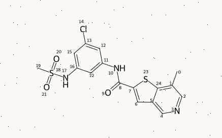 Cc1cncc2cc(C(=O)Nc3cc(Cl)cc(NS(C)(=O)=O)c3)sc12